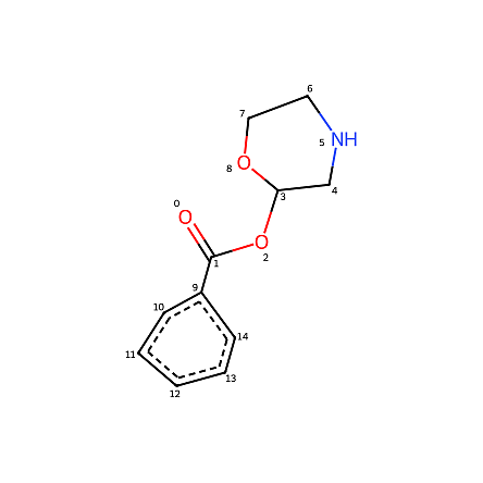 O=C(OC1CNCCO1)c1ccccc1